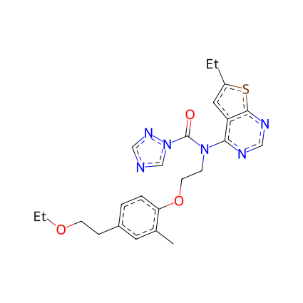 CCOCCc1ccc(OCCN(C(=O)n2cncn2)c2ncnc3sc(CC)cc23)c(C)c1